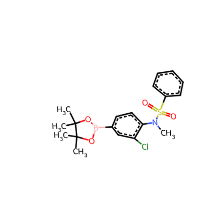 CN(c1ccc(B2OC(C)(C)C(C)(C)O2)cc1Cl)S(=O)(=O)c1ccccc1